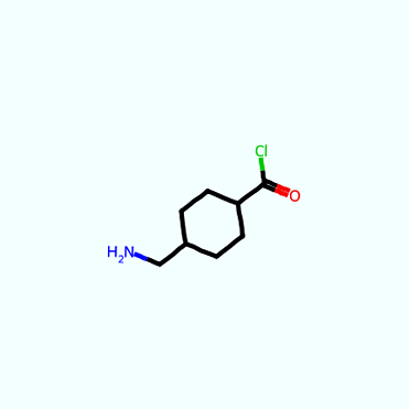 NCC1CCC(C(=O)Cl)CC1